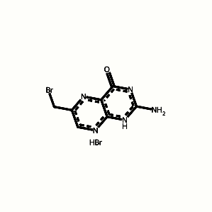 Br.Nc1nc(=O)c2nc(CBr)cnc2[nH]1